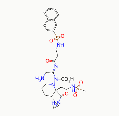 CS(=O)(=O)NCC[C@@]1(C(N)=O)[C@H](C2CC2)CCCN1N(C(=O)O)C(CN)=NC(=O)CCNS(=O)(=O)c1ccc2ccccc2c1